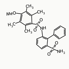 COc1c(C)c(C)c(S(=O)(=O)Nc2cccc(S(N)(=O)=O)c2-c2ccccc2)c(C)c1C